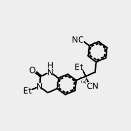 CCN1Cc2ccc([C@](C#N)(CC)Cc3cccc(C#N)c3)cc2NC1=O